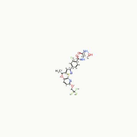 C[C@@H](Oc1ccc(OCC(F)(F)F)nc1)c1cc(-c2ccc(C(=O)N[C@@H](CO)C(N)=O)c(F)c2)ns1